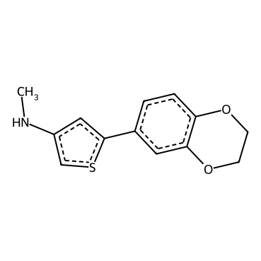 CNc1csc(-c2ccc3c(c2)OCCO3)c1